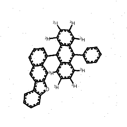 [2H]c1c([2H])c([2H])c2c(-c3cccc4cc5c(cc34)oc3ccccc35)c3c([2H])c([2H])c([2H])c([2H])c3c(-c3ccccc3)c2c1[2H]